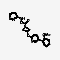 COc1ccccc1-c1ccc(OC2CN(C(=O)ONc3cccnn3)C2)nc1